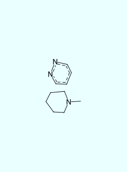 CN1CCCCC1.c1ccnnc1